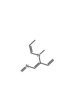 C=C/C(=C/N=C)N(C)/C=C\C